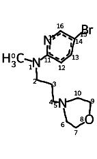 CN(CCCN1CCOCC1)c1ccc(Br)cn1